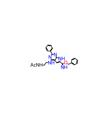 CC(=O)NCCNc1nc(-c2ccccc2)nc2[nH]c(C(=N)OCc3ccccc3)cc12